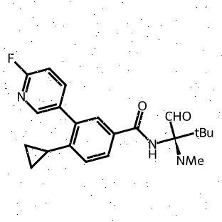 CN[C@](C=O)(NC(=O)c1ccc(C2CC2)c(-c2ccc(F)nc2)c1)C(C)(C)C